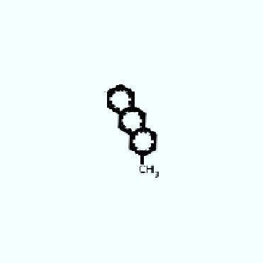 Cc1ccc2cc3cc[c]cc3cc2c1